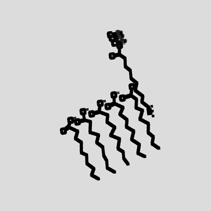 CCCCCCCCCC(=O)[O-].CCCCCCCCCC(=O)[O-].CCCCCCCCCC(=O)[O-].CCCCCCCCCC(=O)[O-].CCCCCCCCCC(=O)[O-].CCCCCCCCCC(=O)[O-].[B].[Co+2].[Co+2].[Co+2]